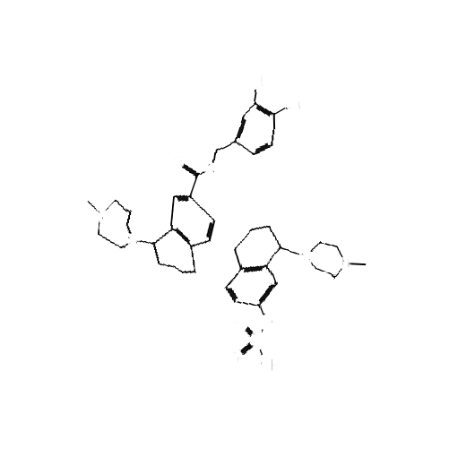 CN1CCN(C2CCCc3ccc(C(=O)NCc4ccc(Cl)c(Cl)c4)cc32)CC1.CN1CCN(C2CCCc3ccc(OS(=O)(=O)C(F)(F)F)cc32)CC1